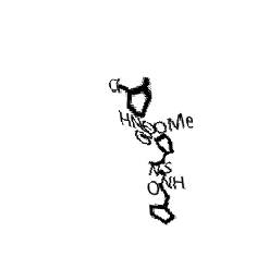 COc1ccc(-c2sc(NC(=O)CC3CCCC3)nc2C)cc1S(=O)(=O)Nc1ccc(C)c(Cl)c1